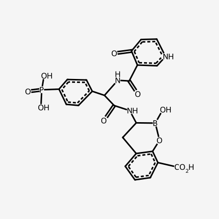 O=C(O)c1cccc2c1OB(O)C(NC(=O)C(NC(=O)c1c[nH]ccc1=O)c1ccc(P(=O)(O)O)cc1)C2